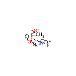 C[C@@H](CSC1c2ccccc2COc2ccc(C=Cc3ccc4cc(F)c(F)cc4n3)cc21)C(=O)[O-].[Na+]